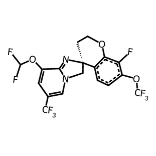 Fc1c(OC(F)(F)F)ccc2c1OCC[C@@]21CN2C=C(C(F)(F)F)C=C(OC(F)F)C2=N1